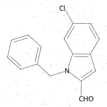 O=Cc1cc2ccc(Cl)cc2n1Cc1ccccc1